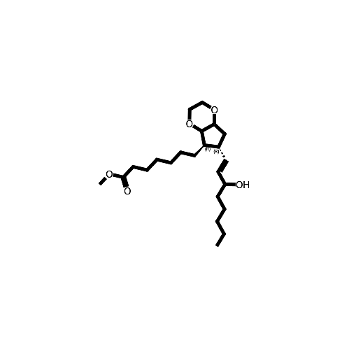 CCCCCC(O)C=C[C@H]1CC2OCCOC2[C@@H]1CCCCCCC(=O)OC